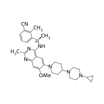 COc1cc2nc(C)nc(N[C@H](C)c3cccc(C#N)c3C)c2cc1N1CCC(N2CCN(C3CC3)CC2)CC1